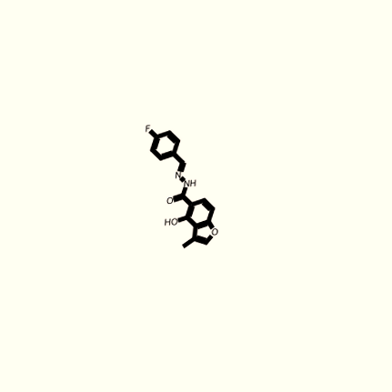 Cc1coc2ccc(C(=O)NN=Cc3ccc(F)cc3)c(O)c12